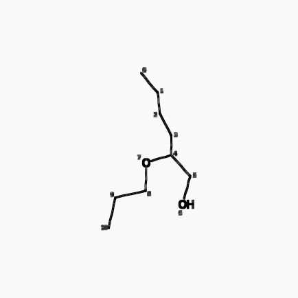 CCCCC(CO)OCCC